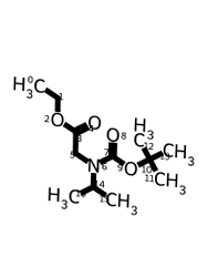 CCOC(=O)CN(C(=O)OC(C)(C)C)C(C)C